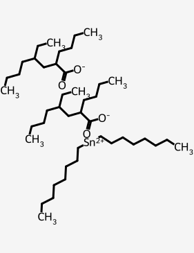 CCCCC(CC)CC(CCCC)C(=O)[O-].CCCCC(CC)CC(CCCC)C(=O)[O-].CCCCCCC[CH2][Sn+2][CH2]CCCCCCC